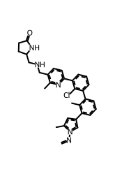 C=Nn1cc(-c2cccc(-c3cccc(-c4ccc(CNCC5CCC(=O)N5)c(C)n4)c3Cl)c2C)cc1C